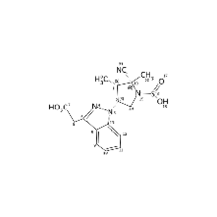 C[C@H]1[C@@H](n2nc(CC(=O)O)c3ccccc32)CN(S(=O)O)[C@@]1(C)C#N